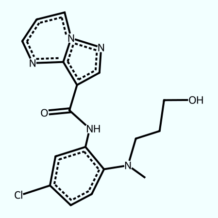 CN(CCCO)c1ccc(Cl)cc1NC(=O)c1cnn2cccnc12